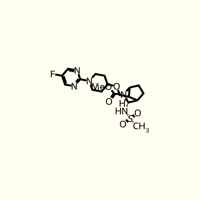 COC(=O)N1C2CCC([C@H]2COC2CCN(c3ncc(F)cn3)CC2)[C@@H]1NS(C)(=O)=O